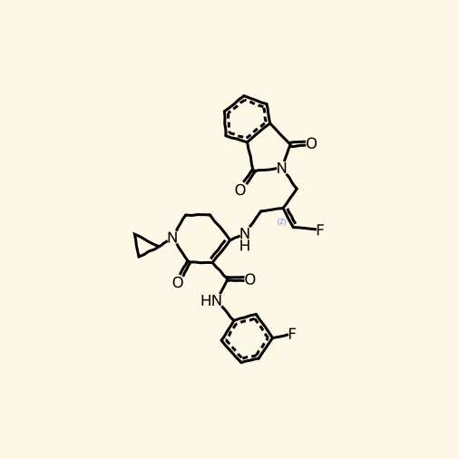 O=C(Nc1cccc(F)c1)C1=C(NC/C(=C/F)CN2C(=O)c3ccccc3C2=O)CCN(C2CC2)C1=O